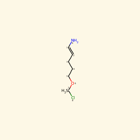 NC=CCCCO[SiH2]Cl